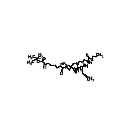 C=CCOC(=O)NC[C@H](O)CN(CC1(O)CN(C(=O)[C@@H](N)CCCCNC(=O)OC(C)(C)C)C1)C(=O)OCC=C